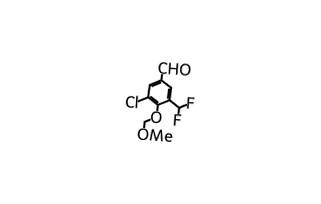 COCOc1c(Cl)cc(C=O)cc1C(F)F